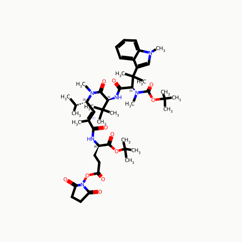 C/C(=C\[C@H](C(C)C)N(C)C(=O)[C@@H](NC(=O)[C@@H](N(C)C(=O)OC(C)(C)C)C(C)(C)c1cn(C)c2ccccc12)C(C)(C)C)C(=O)N[C@H](CCC(=O)ON1C(=O)CCC1=O)C(=O)OC(C)(C)C